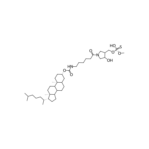 COP(O)(=S)OCC1CN(C(=O)CCCCCNC(=O)O[C@H]2CC[C@@]3(C)C(CCC4C3CC[C@@]3(C)C4CC[C@@H]3C(C)CCCC(C)C)C2)CC1O